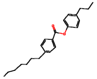 CCCCCCCc1ccc(C(=O)Oc2ccc(CCC)cc2)cc1